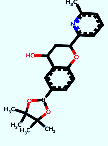 Cc1cccc(C2CC(O)c3cc(B4OC(C)(C)C(C)(C)O4)ccc3O2)n1